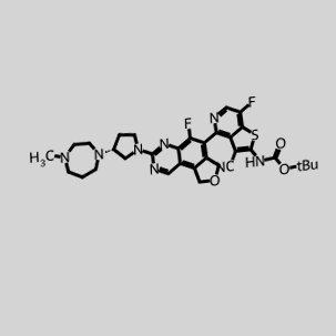 CN1CCCN([C@@H]2CCN(c3ncc4c5c(c(-c6ncc(F)c7sc(NC(=O)OC(C)(C)C)c(C#N)c67)c(F)c4n3)COC5)C2)CC1